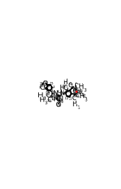 CN(C)C(=O)c1c(C(C)(C)C)ccc(Nc2n[s+]([O-])nc2N[C@@H](c2ccc3c(c2)OCO3)C(C)(C)C)c1O